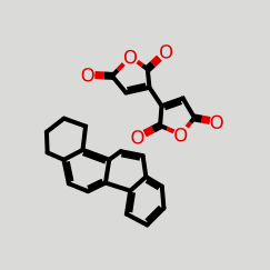 O=C1C=C(C2=CC(=O)OC2=O)C(=O)O1.c1ccc2c(c1)ccc1c3c(ccc12)CCCC3